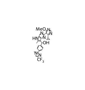 COc1ncnc(C2CC2)c1-c1ncc2[nH]c(C)c(C(O)c3ccc(-c4nc(C(F)(F)F)cn4C)cc3)c2n1